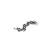 COc1cc2c(Oc3ccc(Nc4ccc(C(C)(C)C)cc4)cc3)ccnc2cc1OCCN1C=CCN(C)C=C1